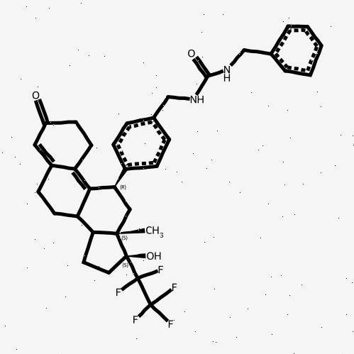 C[C@]12C[C@H](c3ccc(CNC(=O)NCc4ccccc4)cc3)C3=C4CCC(=O)C=C4CCC3C1CC[C@@]2(O)C(F)(F)C(F)(F)F